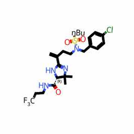 C=C(CCN(Cc1ccc(Cl)cc1)S(=O)(=O)CCCC)C1=NC(C)(C)[C@H](C(=O)NCCC(F)(F)F)N1